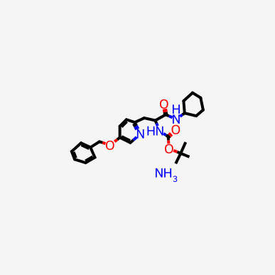 CC(C)(C)OC(=O)NC(Cc1ccc(OCc2ccccc2)cn1)C(=O)NC1CCCCC1.N